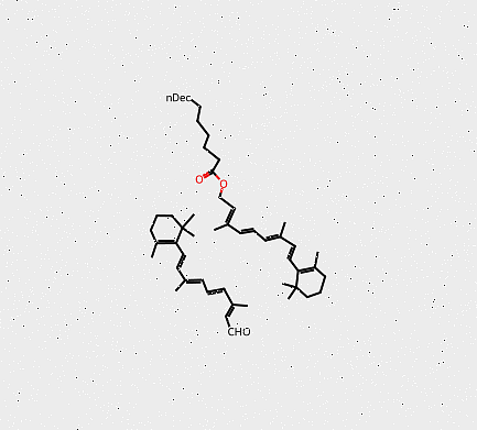 CC(C=CC=C(C)C=CC1=C(C)CCCC1(C)C)=CC=O.CCCCCCCCCCCCCCCC(=O)OCC=C(C)C=CC=C(C)C=CC1=C(C)CCCC1(C)C